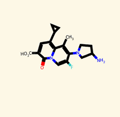 Cc1c(N2CCC(N)C2)c(F)cn2c(=O)c(C(=O)O)cc(C3CC3)c12